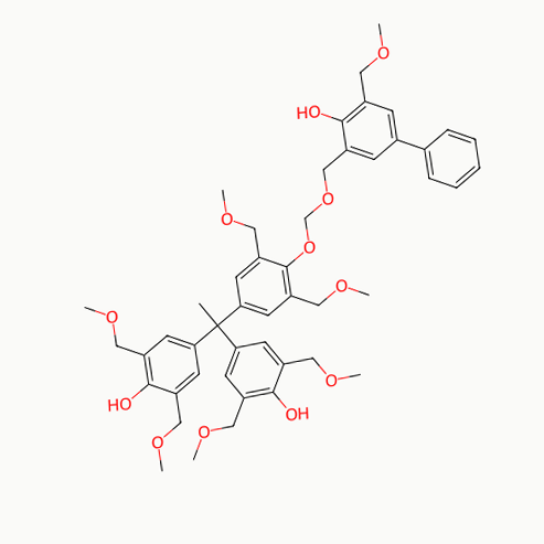 COCc1cc(C(C)(c2cc(COC)c(O)c(COC)c2)c2cc(COC)c(OCOCc3cc(-c4ccccc4)cc(COC)c3O)c(COC)c2)cc(COC)c1O